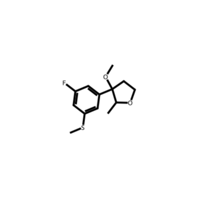 COC1(c2cc(F)cc(SC)c2)CCOC1C